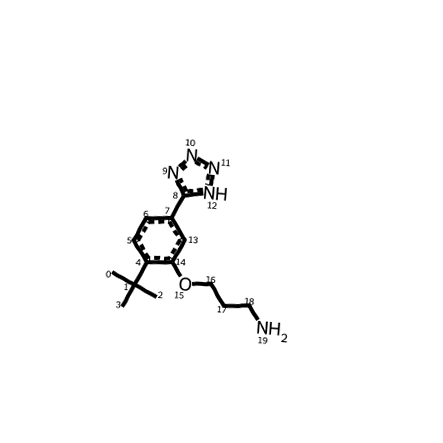 CC(C)(C)c1ccc(-c2nnn[nH]2)cc1OCCCN